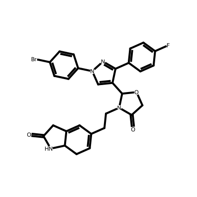 O=C1CC2=CC(CCN3C(=O)COC3c3cn(-c4ccc(Br)cc4)nc3-c3ccc(F)cc3)=CCC2N1